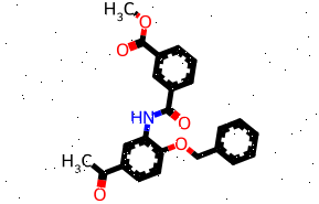 COC(=O)c1cccc(C(=O)Nc2cc(C(C)=O)ccc2OCc2ccccc2)c1